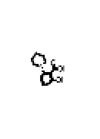 O=C(O)c1c(O)cccc1N1CCCCC1